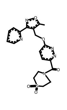 Cc1onc(-c2ccccn2)c1COc1ccc(C(=O)N2CCS(=O)(=O)CC2)nn1